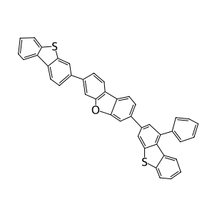 c1ccc(-c2cc(-c3ccc4c(c3)oc3cc(-c5ccc6c(c5)sc5ccccc56)ccc34)cc3sc4ccccc4c23)cc1